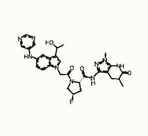 CC1Cc2c(NC(=O)[C@@H]3C[C@@H](F)CN3C(=O)Cn3cc(C(C)O)c4cc(Nc5cncnc5)ccc43)nn(C)c2NC1=O